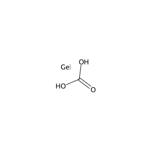 O=C(O)O.[Ge]